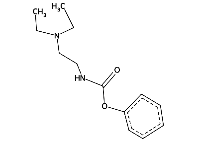 CCN(CC)CCNC(=O)Oc1ccccc1